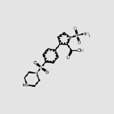 NS(=O)(=O)n1ccc(-c2ccc(S(=O)(=O)N3CCNCC3)cc2)c1C(=O)O